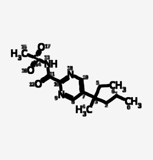 CCCC(C)(CC)c1cnc(C(=O)NS(C)(=O)=O)nc1